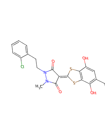 CN1C(=O)/C(=C2/Sc3c(O)cc(CCl)c(O)c3S2)C(=O)N1CCc1ccccc1Cl